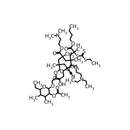 CCCCOC(=O)C(C)(CC(C)(CC(C)(CC(C)(CC(C)(C#N)CCC(=O)O)C(=O)OCCOC1OC(CC)C(C)C(C)C1OC(C)=O)C(=O)OCCN(C)C)C(=O)OCCN(CC)CC)SC(=S)SCC